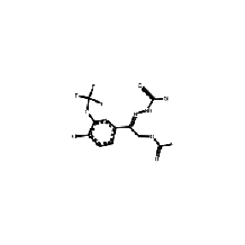 CC(=O)OCC(=NNC(=O)O)c1ccc(Cl)c(OC(F)(F)F)c1